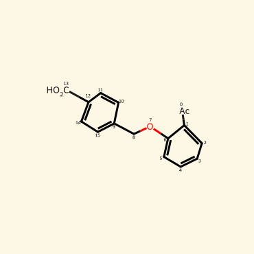 CC(=O)c1ccccc1OCc1ccc(C(=O)O)cc1